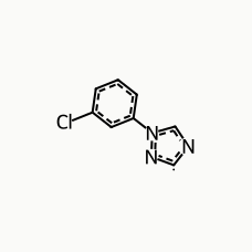 Clc1cccc(-n2cn[c]n2)c1